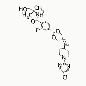 CC(C)(CO)NC(=O)c1ccc([C@H]2OC[C@]3(CO2)C[C@H]3C2CCN(c3ncc(Cl)cn3)CC2)cc1F